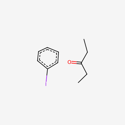 CCC(=O)CC.Ic1ccccc1